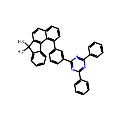 CC1(C)c2ccccc2-c2c1ccc1cccc(-c3cccc(-c4nc(-c5ccccc5)nc(-c5ccccc5)n4)c3)c21